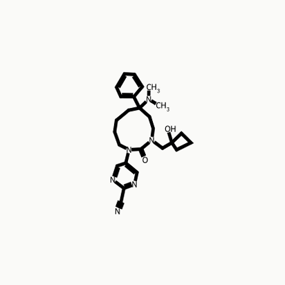 CN(C)C1(c2ccccc2)CCCCN(c2cnc(C#N)nc2)C(=O)N(CC2(O)CCC2)CC1